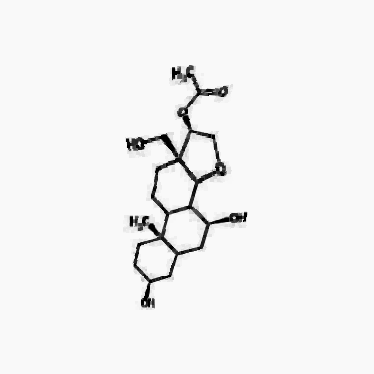 CC(=O)O[C@H]1COC2C3C(CC[C@@]21CO)[C@@]1(C)CC[C@H](O)CC1C[C@@H]3O